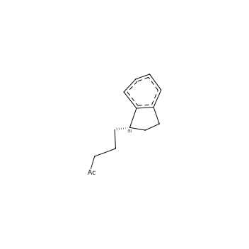 CC(=O)CCC[C@H]1CCc2ccccc21